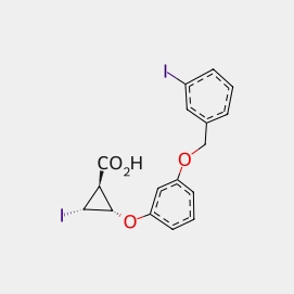 O=C(O)[C@@H]1[C@@H](I)[C@H]1Oc1cccc(OCc2cccc(I)c2)c1